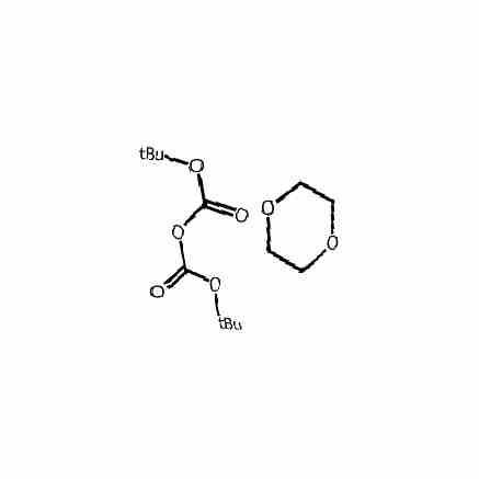 C1COCCO1.CC(C)(C)OC(=O)OC(=O)OC(C)(C)C